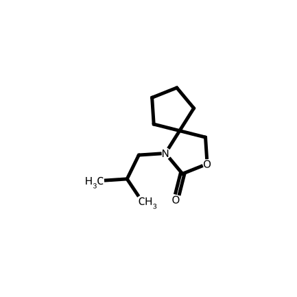 CC(C)CN1C(=O)OCC12CCCC2